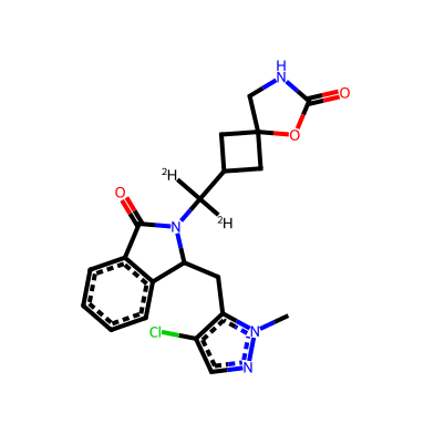 [2H]C([2H])(C1CC2(CNC(=O)O2)C1)N1C(=O)c2ccccc2C1Cc1c(Cl)cnn1C